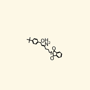 CC(C)(C)c1ccc(C(=O)C=C(N)CCCN2C(=O)c3ccccc3C2=O)cc1